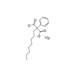 CCCCCCCCC(C(=O)[O-])(C(=O)[O-])c1ccccc1.[K+].[Li+]